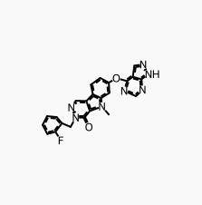 Cn1c2cc(Oc3ncnc4[nH]ncc34)ccc2c2cnn(Cc3ccccc3F)c(=O)c21